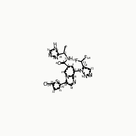 CC(NC(=O)c1cc(-n2nncc2C(F)F)c2ncc(-c3ccc(Cl)s3)n2c1)c1nnc[nH]1